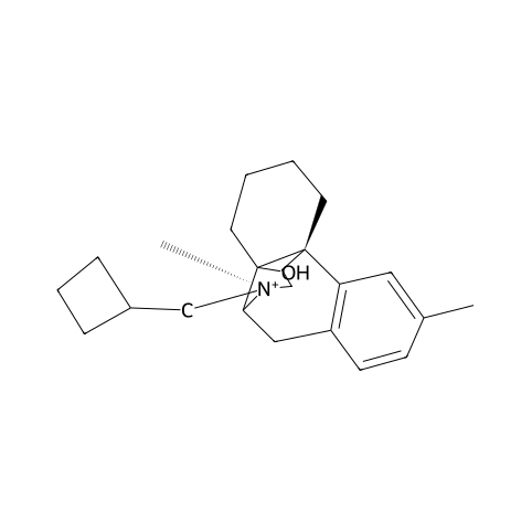 Cc1ccc2c(c1)[C@@]13CCCCC1(O)C(C2)[N@@+](C)(CC1CCC1)CC3